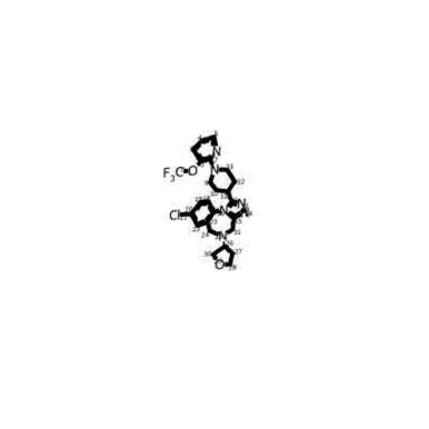 FC(F)(F)Oc1cccnc1N1CCC(c2nnc3n2-c2ccc(Cl)cc2CN([C@@H]2CCOC2)C3)CC1